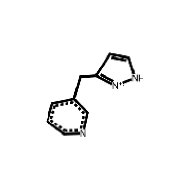 C1=CC(Cc2cccnc2)=[N+]N1